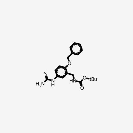 CC(C)(C)OC(=O)NCc1cc(NC(N)=S)ccc1OCc1ccccc1